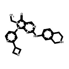 O=c1c2cnc(Nc3ccc4c(c3)CNCC4)nc2n(-c2ccnc(C3COC3)c2)n1CC(F)(F)F